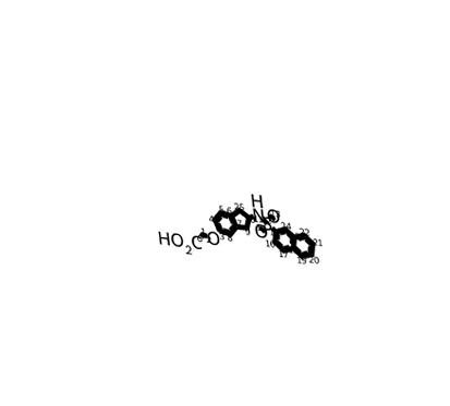 O=C(O)COc1ccc2c(c1)CC(NS(=O)(=O)c1ccc3ccccc3c1)C2